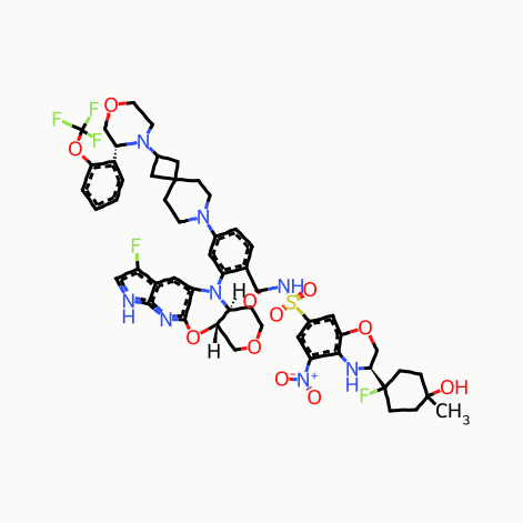 CC1(O)CCC(F)([C@@H]2COc3cc(S(=O)(=O)NC(=O)c4ccc(N5CCC6(CC5)CC(N5CCOC[C@H]5c5ccccc5OC(F)(F)F)C6)cc4N4c5cc6c(F)c[nH]c6nc5O[C@H]5COCC[C@@H]54)cc([N+](=O)[O-])c3N2)CC1